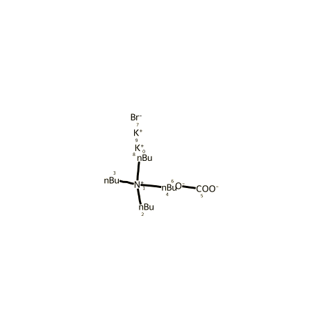 CCCC[N+](CCCC)(CCCC)CCCC.O=C([O-])[O-].[Br-].[K+].[K+]